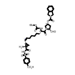 CC(C)(C)OC(=O)N[C@@H](CCCCC/C=C\[C@@H]1C[C@]1(N)C(=O)NS(=O)(=O)c1ccc(C(=O)O)cc1)C(=O)N1C[C@H](OC(=O)N2Cc3ccccc3C2)C[C@H]1C=O